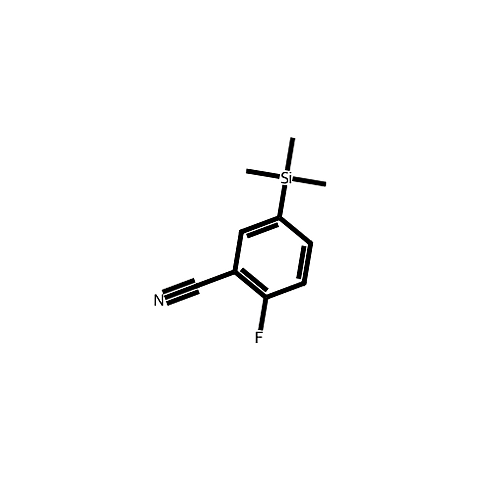 C[Si](C)(C)c1ccc(F)c(C#N)c1